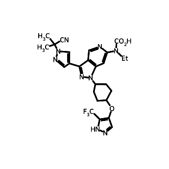 CCN(C(=O)O)c1cc2c(cn1)c(-c1cnn(C(C)(C)C#N)c1)nn2C1CCC(Oc2cn[nH]c2C(F)(F)F)CC1